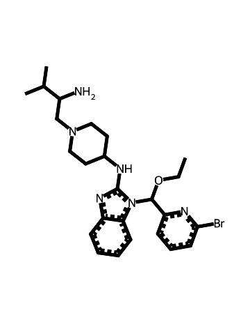 CCOC(c1cccc(Br)n1)n1c(NC2CCN(CC(N)C(C)C)CC2)nc2ccccc21